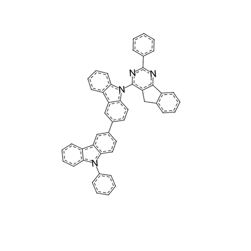 c1ccc(-c2nc3c(c(-n4c5ccccc5c5cc(-c6ccc7c(c6)c6ccccc6n7-c6ccccc6)ccc54)n2)Cc2ccccc2-3)cc1